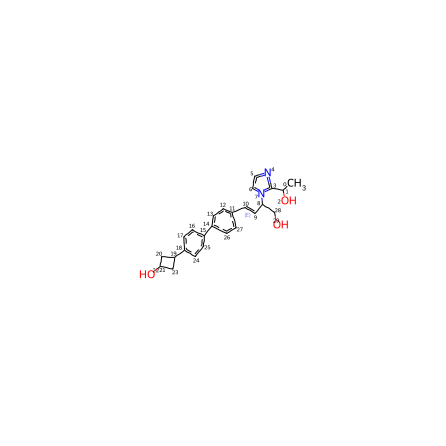 CC(O)c1nccn1C(/C=C/c1ccc(-c2ccc(C3CC(O)C3)cc2)cc1)CO